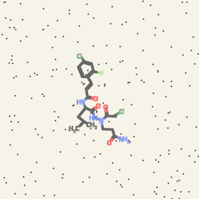 CC(C)CC(NC(=O)/C=C/c1ccc(Cl)cc1F)C(=O)NN(CCC(N)=O)C(=O)CCl